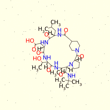 CC(C)C[C@@H]1NC(=O)C2CCN(CC2)C(=O)[C@@H]2CCCN2[C@H](C(=O)NC(C)(C)C)[C@H](C)NC(=O)[C@H]([C@@H](C)O)NC(=O)[C@H](CC(=O)O)NC1=O